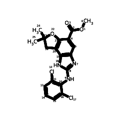 COC(=O)c1cc2nc(Nc3c(Cl)cccc3Cl)[nH]c2c2c1OC(C)(C)C2